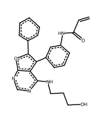 C=CC(=O)Nc1cccc(-c2c(-c3ccccc3)oc3ncnc(NCCCO)c23)c1